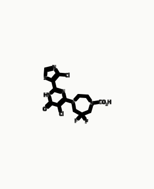 O=C(O)N1CCN(c2nc(-c3scnc3Cl)[nH]c(=O)c2Cl)CC(F)(F)C1